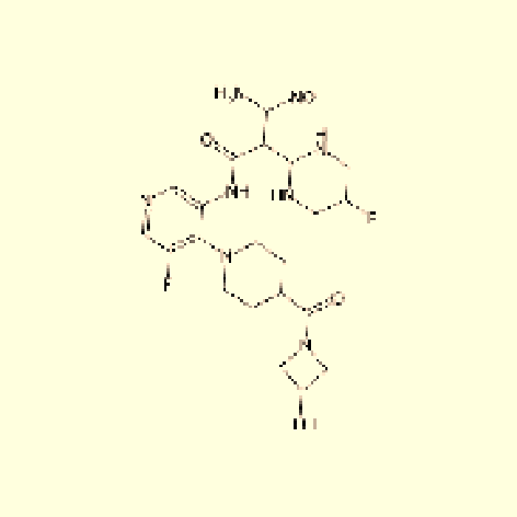 NC(N=O)C(C(=O)Nc1cncc(F)c1N1CCC(C(=O)N2CC(O)C2)CC1)C1NCC(F)CN1